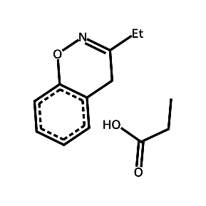 CCC(=O)O.CCC1=NOc2ccccc2C1